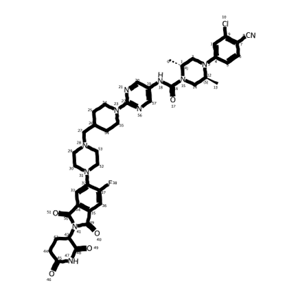 C[C@@H]1CN(c2ccc(C#N)c(Cl)c2)[C@@H](C)CN1C(=O)Nc1cnc(N2CCC(CN3CCN(c4cc5c(cc4F)C(=O)N(C4CCC(=O)NC4=O)C5=O)CC3)CC2)nc1